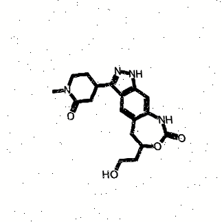 CN1CCC(c2n[nH]c3cc4c(cc23)CC(CCO)OC(=O)N4)CC1=O